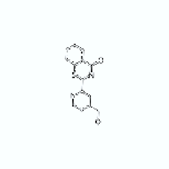 O=Cc1ccnc(-c2nc(=O)c3ccccc3s2)c1